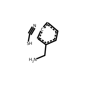 N#CS.NCc1ccccc1